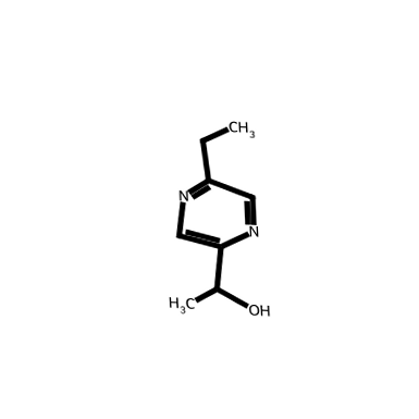 CCc1cnc(C(C)O)cn1